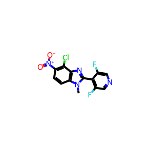 Cn1c(-c2c(F)cncc2F)nc2c(Cl)c([N+](=O)[O-])ccc21